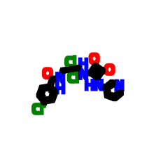 O=C(NCC(Cl)(Cl)CNc1c(Nc2cccnc2)c(=O)c1=O)c1ccc(Cl)cc1